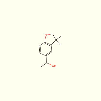 CC(O)c1ccc2c(c1)C(C)(C)CO2